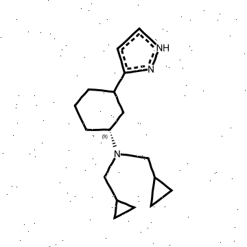 c1cc(C2CCC[C@@H](N(CC3CC3)CC3CC3)C2)n[nH]1